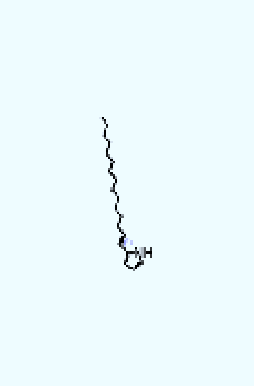 CCCCCCCCCCCCC/C=C/c1ccc[nH]1